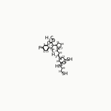 COC(=O)C(C(C)c1ccc(F)cc1)C1CCCN1CCCN(CCS)CC(=O)NCCS